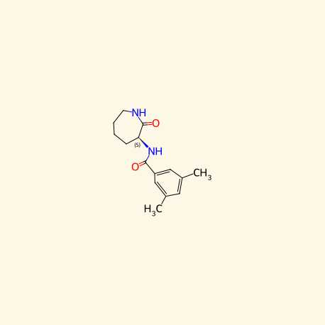 Cc1cc(C)cc(C(=O)N[C@H]2CCCCNC2=O)c1